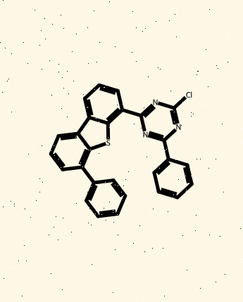 Clc1nc(-c2ccccc2)nc(-c2cccc3c2sc2c(-c4ccccc4)cccc23)n1